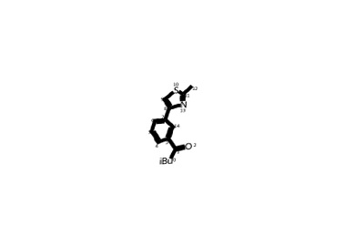 CCC(C)C(=O)c1cccc(-c2csc(C)n2)c1